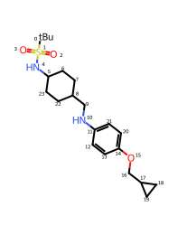 CC(C)(C)S(=O)(=O)NC1CCC(CNc2ccc(OCC3CC3)cc2)CC1